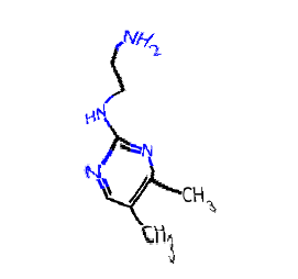 Cc1cnc(NCCN)nc1C